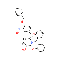 CC(O)C(Oc1ccccc1)N(Cc1ccccc1)C(C)[C@H](O)c1ccc(OCc2ccccc2)c([N+](=O)[O-])c1